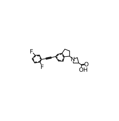 O=C(O)C1CN(C2CCc3cc(C#Cc4cc(F)ccc4F)ccc32)C1